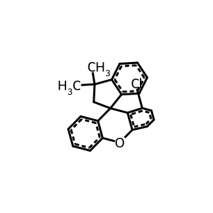 CC1(C)CC2(c3ccccc3Oc3cccc(Cl)c32)c2ccccc21